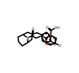 O=C(O)c1cc(Cl)ccc1OCC(=O)N1C2CCCC1CN(Cc1ccc(F)cc1)C2